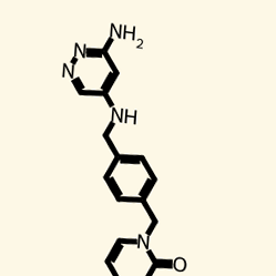 Nc1cc(NCc2ccc(CN3C=CCCC3=O)cc2)cnn1